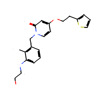 Cc1c(Cn2ccc(OCCc3cccs3)cc2=O)cccc1NCCO